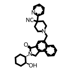 N#CC1(c2ccccn2)CCN(Cc2cc3c(c4ccccc24)CN([C@H]2CCCC[C@@H]2O)C3=O)CC1